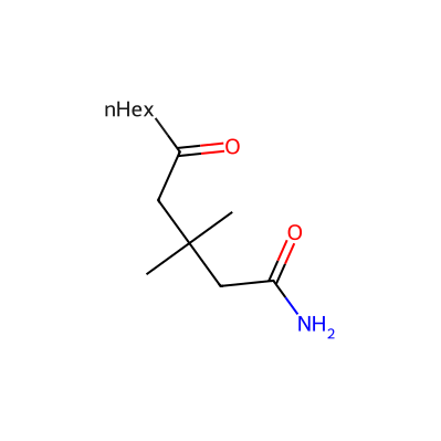 CCCCCCC(=O)CC(C)(C)CC(N)=O